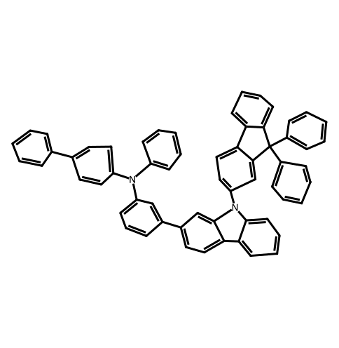 c1ccc(-c2ccc(N(c3ccccc3)c3cccc(-c4ccc5c6ccccc6n(-c6ccc7c(c6)C(c6ccccc6)(c6ccccc6)c6ccccc6-7)c5c4)c3)cc2)cc1